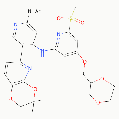 CC(=O)Nc1cc(Nc2cc(OCC3COCCO3)cc(S(C)(=O)=O)n2)c(-c2ccc3c(n2)OC(C)(C)CO3)cn1